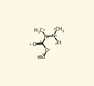 CCN(C)N(C)C(=O)OC(C)(C)C